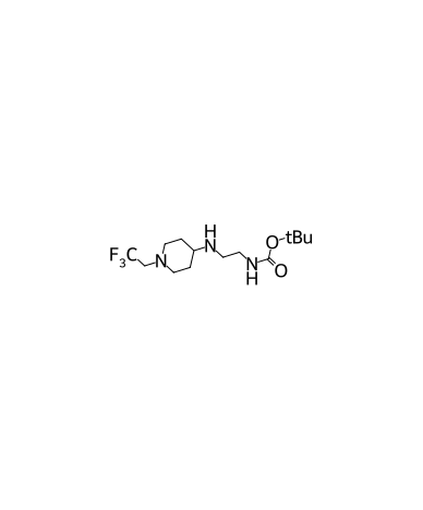 CC(C)(C)OC(=O)NCCNC1CCN(CC(F)(F)F)CC1